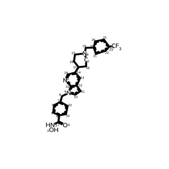 O=C(NO)c1ccc(Cn2ccc3cc(C4CCN(Cc5ccc(C(F)(F)F)cc5)CC4)cnc32)cc1